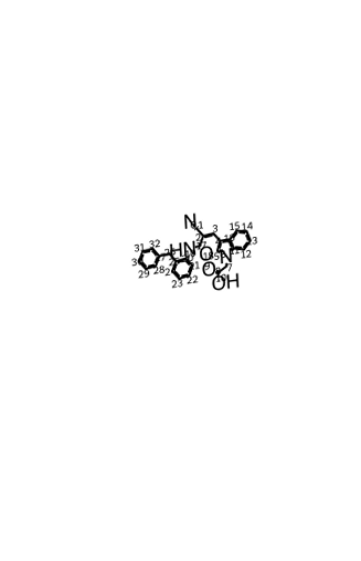 N#CC(=Cc1cn(CC(=O)O)c2ccccc12)C(=O)Nc1ccccc1Cc1ccccc1